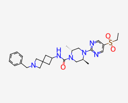 CCS(=O)(=O)c1cnc(N2C[C@@H](C)N(C(=O)NC3CC4(C3)CN(Cc3ccccc3)C4)C[C@@H]2C)nc1